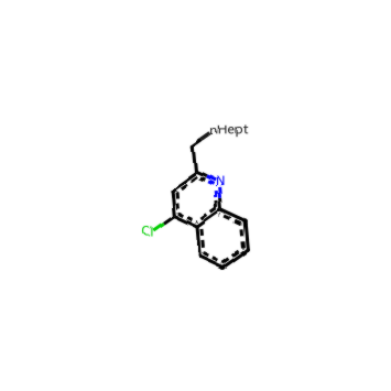 CCCCCCCCc1cc(Cl)c2ccccc2n1